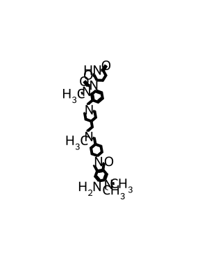 CN(CCC1CCN(Cc2cccc3c2n(C)c(=O)n3C2CCC(=O)NC2=O)CC1)CC1CCC(N2Cc3cc(N)c(N(C)C)cc3C2=O)CC1